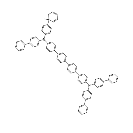 CC1(c2ccc(N(c3ccc(-c4ccccc4)cc3)c3ccc(-c4ccc(-c5ccc(-c6ccc(N(c7ccc(-c8ccccc8)cc7)c7ccc(-c8ccccc8)cc7)cc6)cc5)cc4)cc3)cc2)C=CC=CC1